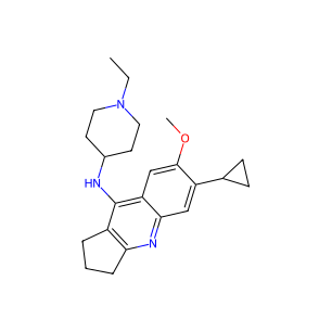 CCN1CCC(Nc2c3c(nc4cc(C5CC5)c(OC)cc24)CCC3)CC1